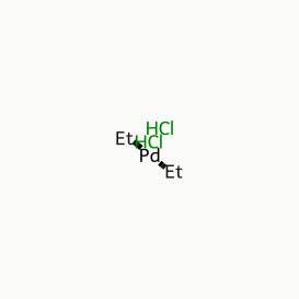 C[CH2][Pd][CH2]C.Cl.Cl